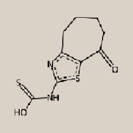 O=C1CCCCc2nc(NC(O)=S)sc21